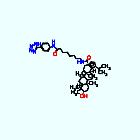 C=C(C)[C@@H]1CC[C@]2(C(=O)NCCCCCCCC(=O)Nc3ccc(-c4nnn[nH]4)cc3)CC[C@]3(C)[C@H](CCC4[C@@]5(C)CC[C@H](O)C(C)(C)[C@@H]5CC[C@]43C)[C@@H]12